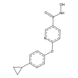 O=C(NO)c1ccc(Oc2ccc(C3CC3)cc2)nc1